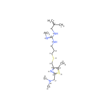 C=C(C)CNC(=N[N+](=O)[O-])NCCCSCc1nc(CN(CC)CC)sc1C